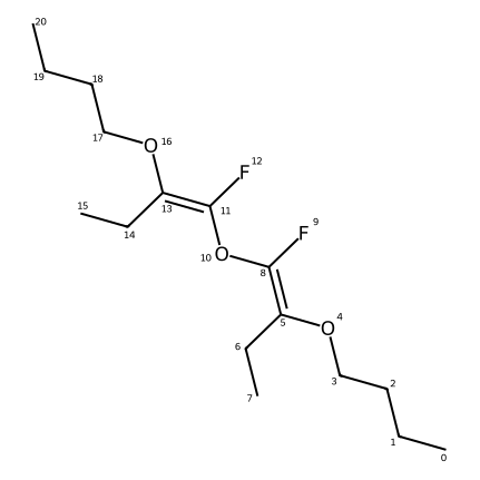 CCCCO/C(CC)=C(\F)O/C(F)=C(\CC)OCCCC